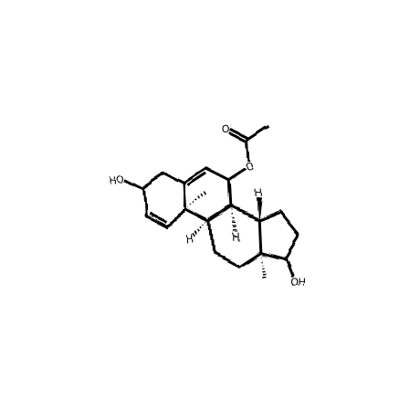 CC(=O)OC1C=C2CC(O)C=C[C@]2(C)[C@@H]2CC[C@]3(C)C(O)CC[C@H]3[C@H]12